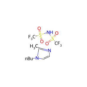 CCCCn1ccnc1C.O=S(=O)(NS(=O)(=O)C(F)(F)F)C(F)(F)F